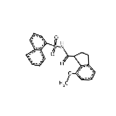 COc1cccc2c1C(C(=O)NS(=O)(=O)c1cccc3ccccc13)CC2